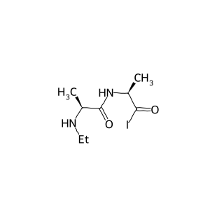 CCN[C@@H](C)C(=O)N[C@@H](C)C(=O)I